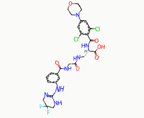 O=C(CNC(=O)c1cccc(NC2=NCC(F)(F)CN2)c1)NC[C@H](NC(=O)c1c(Cl)cc(N2CCOCC2)cc1Cl)C(=O)O